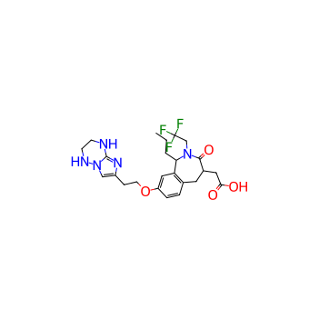 CCCC1c2cc(OCCc3cn4c(n3)NCCN4)ccc2CC(CC(=O)O)C(=O)N1CC(F)(F)F